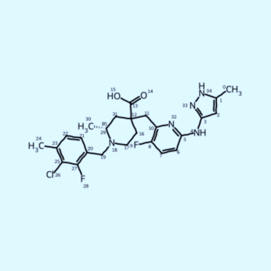 Cc1cc(Nc2ccc(F)c(CC3(C(=O)O)CCN(Cc4ccc(C)c(Cl)c4F)[C@H](C)C3)n2)n[nH]1